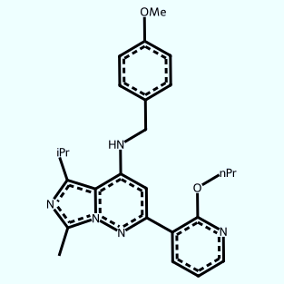 CCCOc1ncccc1-c1cc(NCc2ccc(OC)cc2)c2c(C(C)C)nc(C)n2n1